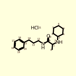 CC(NC1CCCCC1)C(=O)NCCCc1ccccc1.Cl